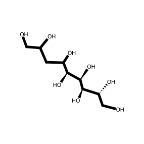 OCC(O)CC(O)[C@H](O)[C@@H](O)[C@H](O)[C@H](O)CO